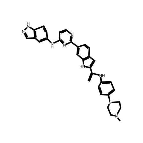 C=C(Nc1ccc(N2CCN(C)CC2)cc1)c1cc2ccc(-c3nccc(Nc4ccc5[nH]ncc5c4)n3)cc2[nH]1